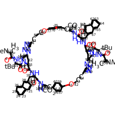 CN[C@@H](C)C(=O)N[C@H](C(=O)N1C[C@@H]2C[C@H]1C(=O)N[C@@H](Cc1ccc3ccccc3c1)C(=O)N[C@H](C(=O)O)Cc1ccc(cc1)OCCCc1cn(nn1)[C@H]1C[C@@H](C(=O)N[C@@H](Cc3ccc4ccccc4c3)C(=O)N[C@H](C(=O)O)Cc3ccc(cc3)OCCCc3cn2nn3)N(C(=O)[C@@H](NC(=O)[C@H](C)NC)C(C)(C)C)C1)C(C)(C)C